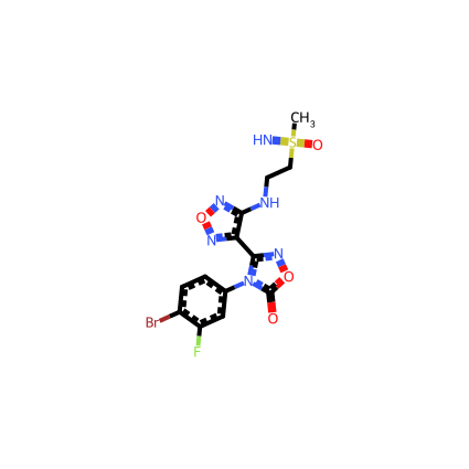 CS(=N)(=O)CCNc1nonc1-c1noc(=O)n1-c1ccc(Br)c(F)c1